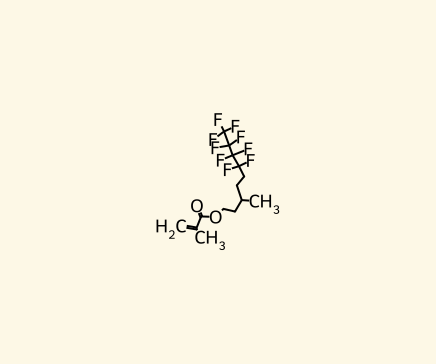 C=C(C)C(=O)OCCC(C)CCC(F)(F)C(F)(F)C(F)(F)C(F)(F)F